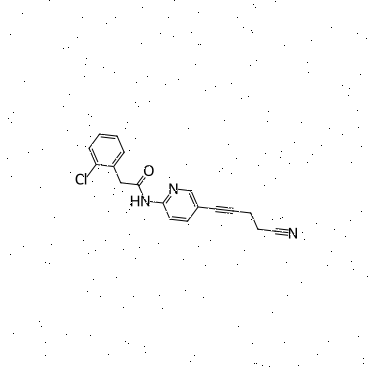 N#CCCC#Cc1ccc(NC(=O)Cc2ccccc2Cl)nc1